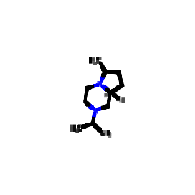 CC(C)N1CCN2C(C)CC[C@@H]2C1